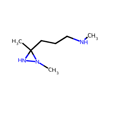 CNCCCC1(C)NN1C